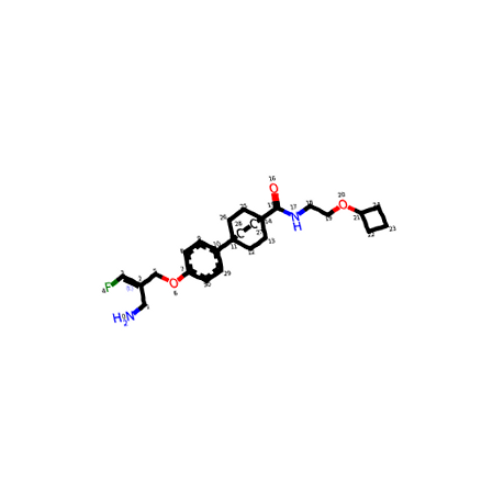 NC/C(=C\F)COc1ccc(C23CCC(C(=O)NCCOC4CCC4)(CC2)CC3)cc1